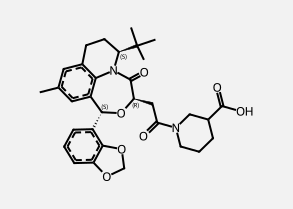 Cc1cc2c3c(c1)[C@@H](c1cccc4c1OCO4)O[C@H](CC(=O)N1CCCC(C(=O)O)C1)C(=O)N3[C@H](C(C)(C)C)CC2